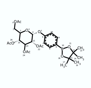 CC(=O)OCC1O[C@H](Oc2ccc(B3OC(C)(C)C(C)(C)O3)cc2)[C@H](OC(C)=O)C(OC(C)=O)[C@@H]1OC(C)=O